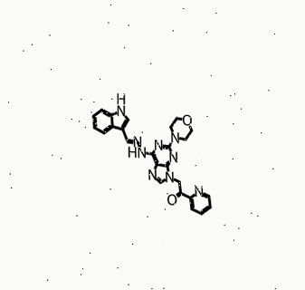 O=C(Cn1cnc2c(N/N=C/c3c[nH]c4ccccc34)nc(N3CCOCC3)nc21)c1ccccn1